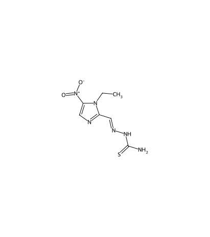 CCn1c([N+](=O)[O-])cnc1C=NNC(N)=S